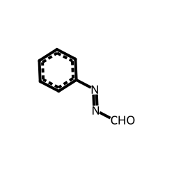 O=CN=Nc1ccccc1